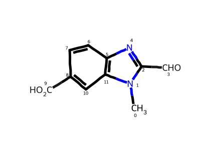 Cn1c(C=O)nc2ccc(C(=O)O)cc21